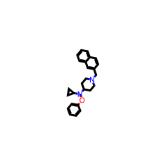 c1ccc(ON(C2CC2)C2CCN(Cc3ccc4ccccc4c3)CC2)cc1